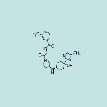 Cc1cnc(C2(O)CCC(N[C@H]3CCN(C(=O)CNC(=O)c4cccc(C(F)(F)F)c4)C3)CC2)s1